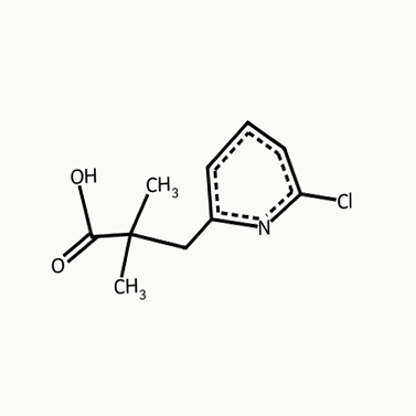 CC(C)(Cc1cccc(Cl)n1)C(=O)O